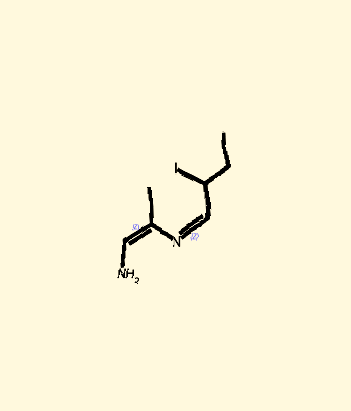 CCC(I)/C=N\C(C)=C/N